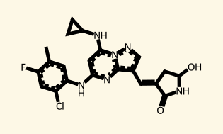 Cc1cc(Nc2cc(NC3CC3)n3ncc(/C=C4\CC(O)NC4=O)c3n2)c(Cl)cc1F